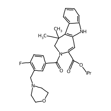 CC(C)OC(=O)C1=Cc2[nH]c3ccccc3c2C(C)(C)CN1C(=O)c1ccc(F)c(CN2CCOCC2)c1